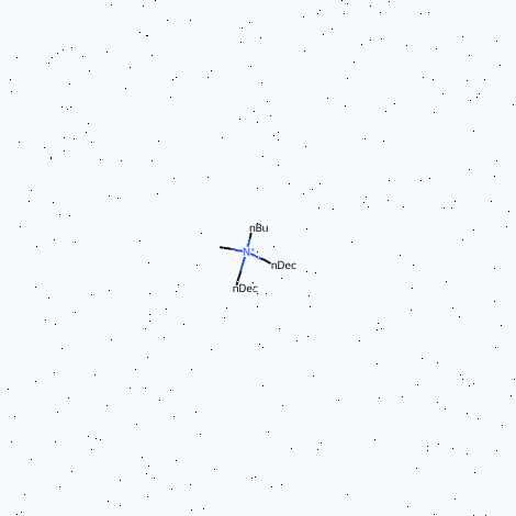 CCCCCCCCCC[N+](C)(CCCC)CCCCCCCCCC